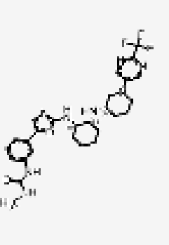 CNC(=O)Nc1cccc(-c2cnc(N[C@@H]3CCCC[C@H]3N[C@H]3CCCN(c4cnc(C(F)(F)F)nc4)C3)o2)c1